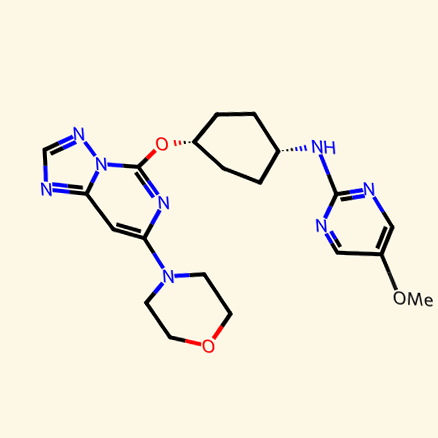 COc1cnc(N[C@H]2CC[C@@H](Oc3nc(N4CCOCC4)cc4ncnn34)CC2)nc1